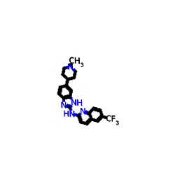 CN1CCC(c2ccc3nc(Nc4ccc5cc(C(F)(F)F)ccc5n4)[nH]c3c2)CC1